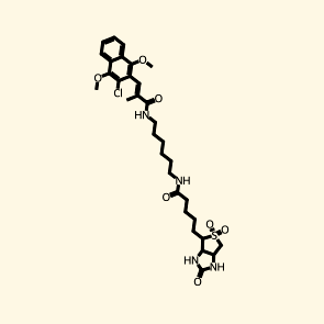 COc1c(Cl)c(/C=C(\C)C(=O)NCCCCCCNC(=O)CCCCC2C3NC(=O)NC3CS2(=O)=O)c(OC)c2ccccc12